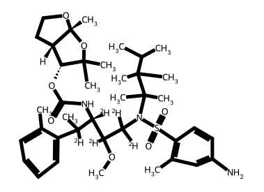 [2H]C([2H])(N(C(C)(C)C(C)(C)C(C)C)S(=O)(=O)c1ccc(N)cc1C)C([2H])(OC)[C@@]([2H])(NC(=O)O[C@@H]1[C@@H]2CCO[C@]2(C)OC1(C)C)C([2H])(C)c1ccccc1C